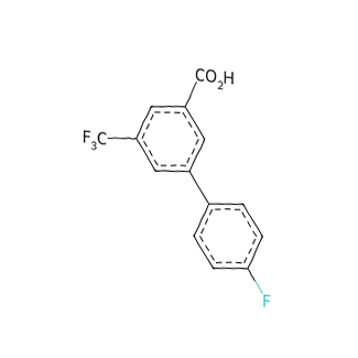 O=C(O)c1cc(-c2ccc(F)cc2)cc(C(F)(F)F)c1